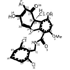 COc1cc(O)c2c(c1C(=O)NCc1c(Cl)cccc1Cl)OC1=CC(O)=C(C(C)=O)C(=O)[C@]12C